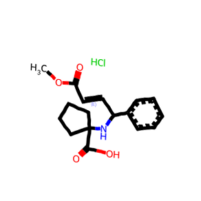 COC(=O)/C=C/C(NC1(C(=O)O)CCCC1)c1ccccc1.Cl